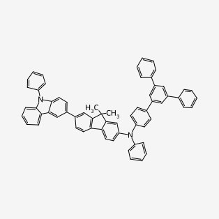 CC1(C)c2cc(-c3ccc4c(c3)c3ccccc3n4-c3ccccc3)ccc2-c2ccc(N(c3ccccc3)c3ccc(-c4cc(-c5ccccc5)cc(-c5ccccc5)c4)cc3)cc21